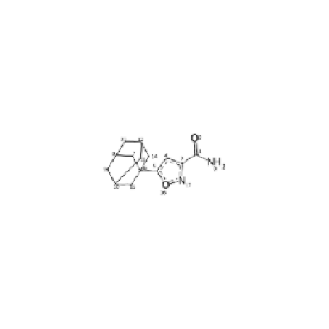 NC(=O)c1cc(C23CC4CC(CC(C4)C2)C3)on1